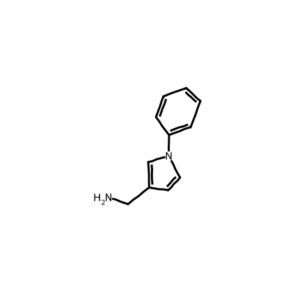 NCc1ccn(-c2ccccc2)c1